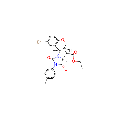 CCOC(=O)[C@@H]1[C@H]2COc3ccc(Br)cc3[C@H]2N2C(=O)N(c3ccc(C)cc3)C(=O)[C@]12C